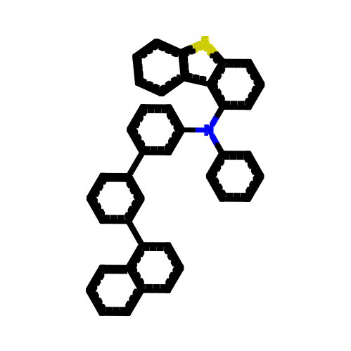 c1ccc(N(c2cccc(-c3cccc(-c4cccc5ccccc45)c3)c2)c2cccc3sc4ccccc4c23)cc1